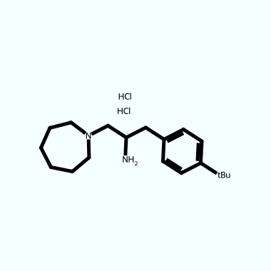 CC(C)(C)c1ccc(CC(N)CN2CCCCCC2)cc1.Cl.Cl